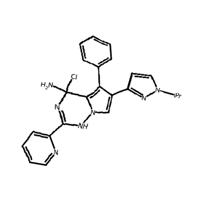 CC(C)n1ccc(-c2cn3c(c2-c2ccccc2)C(N)(Cl)N=C(c2ccccn2)N3)n1